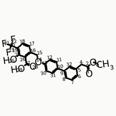 COC(=O)Cc1cccc(-c2ccc(OCc3ccc(C(F)(F)F)c(O)c3C(=O)O)cc2)c1